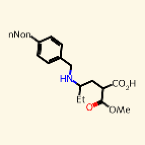 CCCCCCCCCc1ccc(CNC(CC)CC(C(=O)O)C(=O)OC)cc1